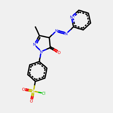 CC1=NN(c2ccc(S(=O)(=O)Cl)cc2)C(=O)C1N=Nc1ccccn1